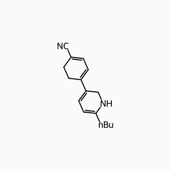 CCCCC1=CC=C(C2=CC=C(C#N)CC2)CN1